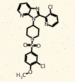 COc1ccc(S(=O)(=O)N2CCC(n3c(-c4ncccc4Cl)nc4cccnc43)CC2)cc1Cl